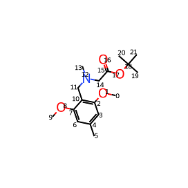 COc1cc(C)cc(OC)c1CN(C)CC(=O)OC(C)(C)C